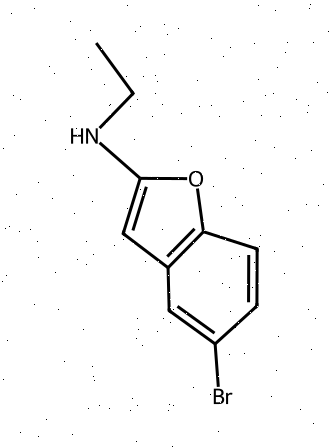 CCNc1cc2cc(Br)ccc2o1